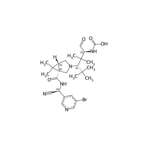 CC(C)(C)[C@H](N1C[C@H]2C(C)(C)[C@]2(C(=O)N[C@H](C#N)c2cncc(Br)c2)C1)C(C)(C)[C@@H](C=O)NC(=O)O